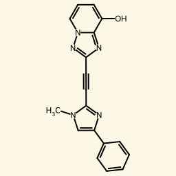 Cn1cc(-c2ccccc2)nc1C#Cc1nc2c(O)cccn2n1